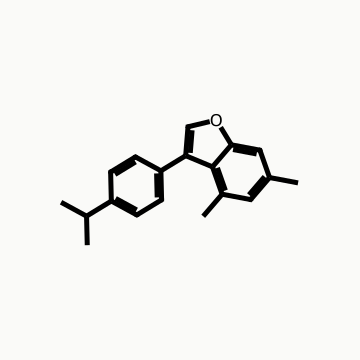 Cc1cc(C)c2c(-c3ccc(C(C)C)cc3)coc2c1